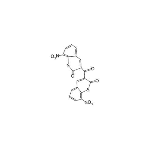 O=C(c1cc2cccc([N+](=O)[O-])c2sc1=O)c1cc2cccc([N+](=O)[O-])c2sc1=O